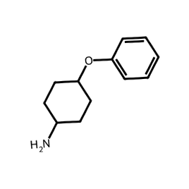 NC1CCC(Oc2ccccc2)CC1